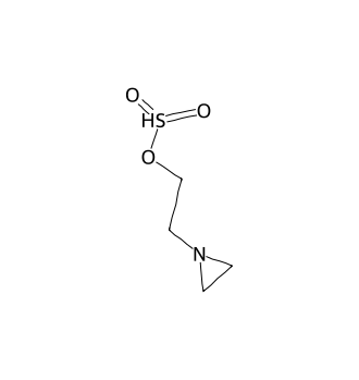 O=[SH](=O)OCCN1CC1